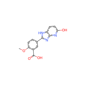 COc1ccc(-c2nc3nc(O)ccc3[nH]2)cc1C(=O)O